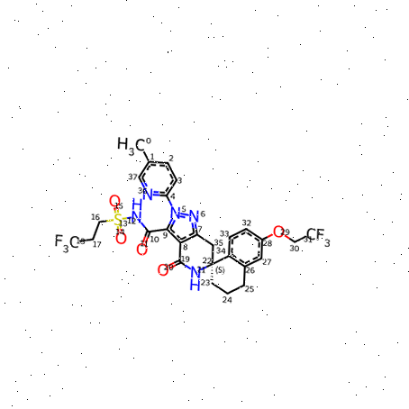 Cc1ccc(-n2nc3c(c2C(=O)NS(=O)(=O)CCC(F)(F)F)C(=O)N[C@@]2(CCCc4cc(OCC(F)(F)F)ccc42)C3)nc1